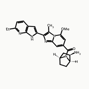 CCc1ccc2cc(-c3nc4cc(C(=O)N5[C@H]6CC[C@@H]5[C@H](N)C6)cc(OC)n4c3C)[nH]c2n1